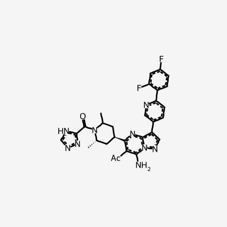 CC(=O)c1c([C@@H]2CC(C)N(C(=O)c3nnc[nH]3)[C@@H](C)C2)nc2c(-c3ccc(-c4ccc(F)cc4F)nc3)cnn2c1N